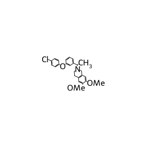 COc1cc2c(cc1OC)CN(C(C)c1cccc(Oc3ccc(Cl)cc3)c1)CC2